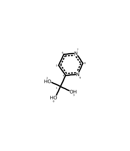 OC(O)(O)c1ccncn1